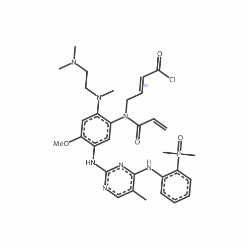 C=CC(=O)N(C/C=C/C(=O)Cl)c1cc(Nc2ncc(C)c(Nc3ccccc3P(C)(C)=O)n2)c(OC)cc1N(C)CCN(C)C